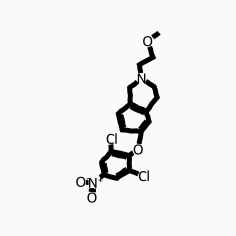 COCCN1CCc2cc(Oc3c(Cl)cc([N+](=O)[O-])cc3Cl)ccc2C1